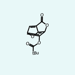 CC(C)(C)C(=O)Oc1c2c3oc1cc3C(=O)O2